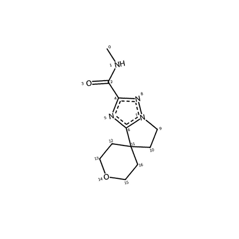 CNC(=O)c1nc2n(n1)CCC21CCOCC1